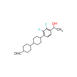 CC(O)c1ccc(C2CCC(C3CCC(C=O)CC3)CC2)c(F)c1F